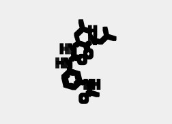 CC(=O)Nc1cccc(NC(=O)N[C@@H](CC(C)C)C(=O)NCC(C)C)c1